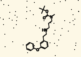 CN(CCCNCCc1cccc(Oc2ccccc2)c1)C(=O)OC(C)(C)C